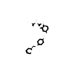 CN(C(=O)O)c1nc2cc(OS(=O)(=O)c3ccc(NCc4ccccn4)cc3)ccc2[nH]1